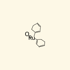 O=[CH][Ru]([C]1=CC=CCC1)[C]1=CC=CCC1